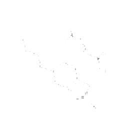 CCCNC1CCc2nc(N)sc2C1.O=C(O)/C=C/C(=O)O